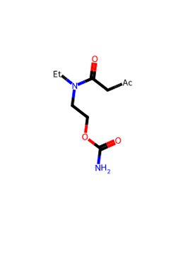 CCN(CCOC(N)=O)C(=O)CC(C)=O